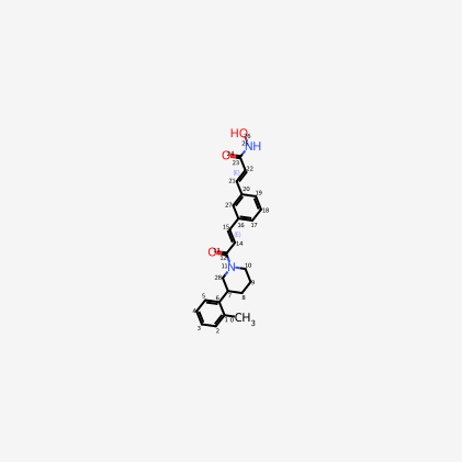 Cc1ccccc1C1CCCN(C(=O)/C=C/c2cccc(/C=C/C(=O)NO)c2)C1